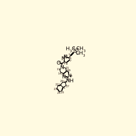 CS(C)(C)C#Cc1ccc(C(=O)N2CCc3nc(NC4Cc5ccccc5C4)ncc3C2)nn1